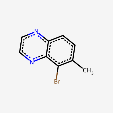 Cc1ccc2nccnc2c1Br